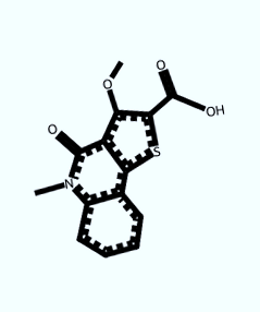 COc1c(C(=O)O)sc2c1c(=O)n(C)c1ccccc21